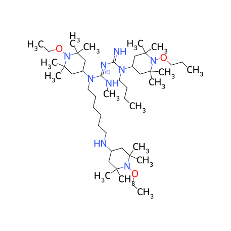 CCCCN(C(=N)/N=C(\NC)N(CCCCCCNC1CC(C)(C)N(OCC)C(C)(C)C1)C1CC(C)(C)N(OCC)C(C)(C)C1)C1CC(C)(C)N(OCCC)C(C)(C)C1